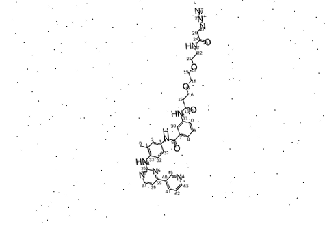 Cc1cc(NC(=O)c2cccc(NC(=O)CCOCCOCCNC(=O)CN=[N+]=[N-])c2)ccc1Nc1nccc(-c2cccnc2)n1